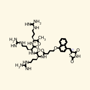 CC(=O)[C@H](CCCNC(=N)N)NC(=O)[C@H](CCCNC(=N)N)NC(=O)[C@H](CCCNC(=N)N)NC(=O)CCCOc1ccc(/C=C2\SC(=O)NC2=O)c2ccccc12